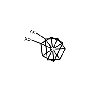 CC(=O)[C]12[CH]3[CH]4[CH]5[CH]1[Ru]45321678[CH]2[CH]1[CH]6[C]7(C(C)=O)[CH]28